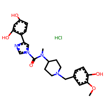 COc1cc(CN2CCC(N(C)C(=O)n3cnc(-c4ccc(O)cc4O)c3)CC2)ccc1O.Cl